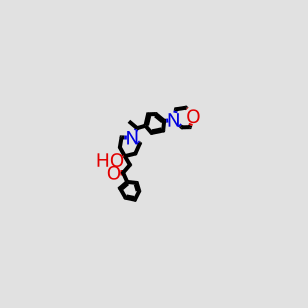 CC(c1ccc(N2CCOCC2)cc1)N1CCC(O)(CC(=O)c2ccccc2)CC1